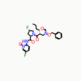 CCCC[C@H](CN(C=O)OCc1ccccc1)C(=O)N1C[C@H](F)CC1C(=O)Nc1ccc(F)c[n+]1[O-]